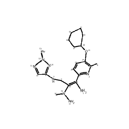 Cc1nc(/C(N)=C(\CNc2cnn(C(C)C)n2)N(C)N)ccc1OC1CCCCC1